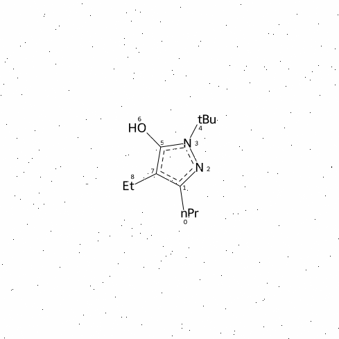 CCCc1nn(C(C)(C)C)c(O)c1CC